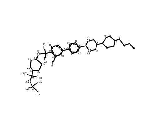 CCCCC1CCC(C2COC(c3ccc(-c4ccc(C(F)(F)OC5CCC(C(F)(F)OC(F)(F)F)CC5)c(F)c4)cc3)OC2)CC1